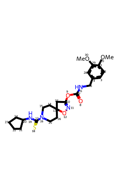 COc1ccc(CNC(=O)OC2=NOC3(CCN(C(=S)NC4CCCC4)CC3)C2)cc1OC